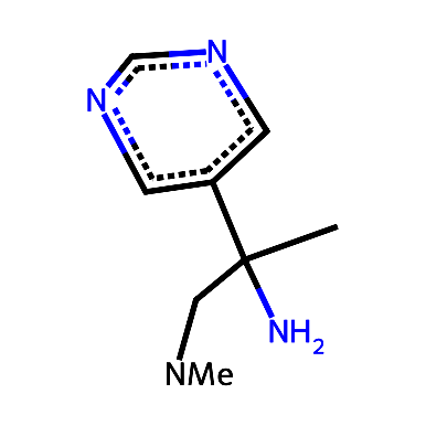 CNCC(C)(N)c1cncnc1